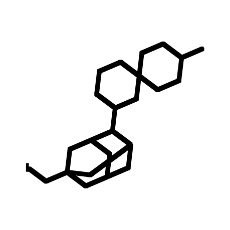 CC1CCC2(CCCC(C3C4CC5CC3CC(CI)(C5)C4)C2)CC1